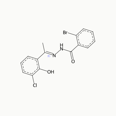 C/C(=N\NC(=O)c1ccccc1Br)c1cccc(Cl)c1O